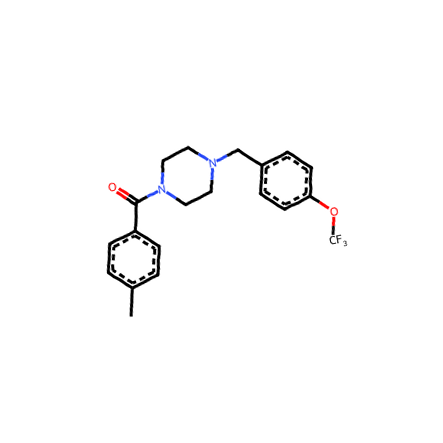 Cc1ccc(C(=O)N2CCN(Cc3ccc(OC(F)(F)F)cc3)CC2)cc1